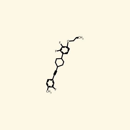 C=CCOc1ccc(C2CCC(C#Cc3ccc(C)c(F)c3)CC2)c(F)c1F